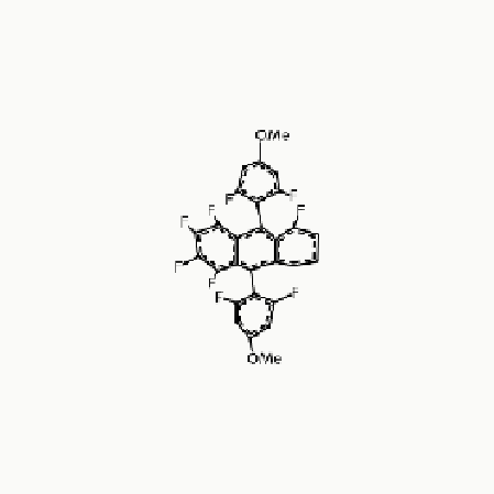 COc1cc(F)c(-c2c3cccc(F)c3c(-c3c(F)cc(OC)cc3F)c3c(F)c(F)c(F)c(F)c23)c(F)c1